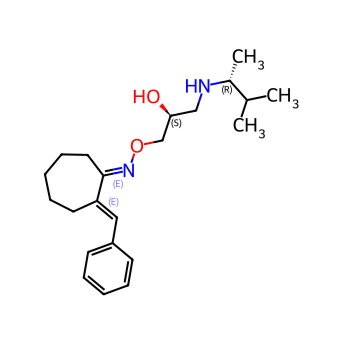 CC(C)[C@@H](C)NC[C@H](O)CO/N=C1\CCCCC\C1=C/c1ccccc1